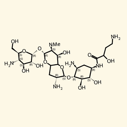 CN[C@@H]1[C@@H](O[C@H]2O[C@H](CO)[C@@H](N)[C@H](O)[C@H]2O)OC2C[C@@H](N)[C@@H](O[C@H]3[C@H](O)[C@@H](O)[C@H](NC(=O)C(O)CCN)C[C@@H]3N)OC2[C@@H]1O